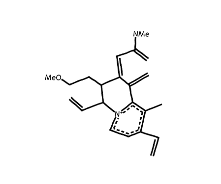 C=Cc1cc[n+]2c(c1C)C(=C)/C(=C\C(=C)NC)C(CCOC)C2C=C